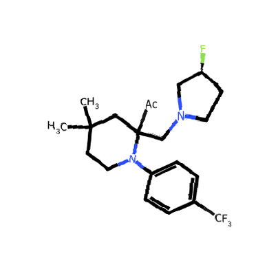 CC(=O)C1(CN2CC[C@H](F)C2)CC(C)(C)CCN1c1ccc(C(F)(F)F)cc1